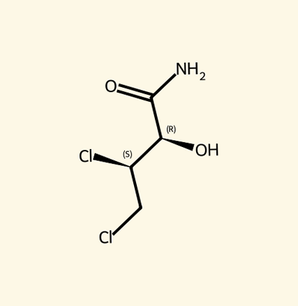 NC(=O)[C@@H](O)[C@H](Cl)CCl